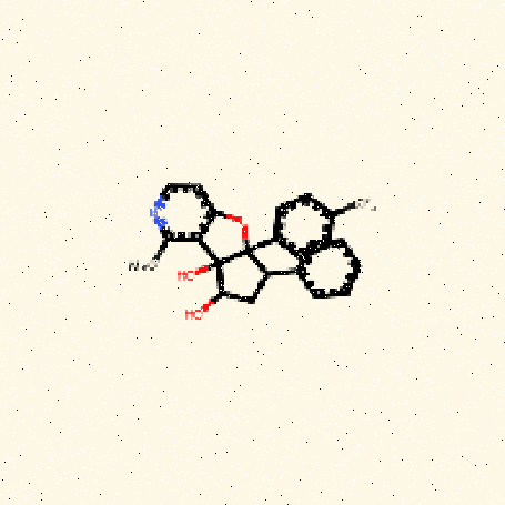 COc1nccc2c1C1(O)C(O)CC(c3ccccc3)C1(c1ccc(C(F)(F)F)cc1)O2